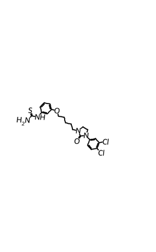 NC(=S)Nc1cccc(OCCCCCN2CCN(c3ccc(Cl)c(Cl)c3)C2=O)c1